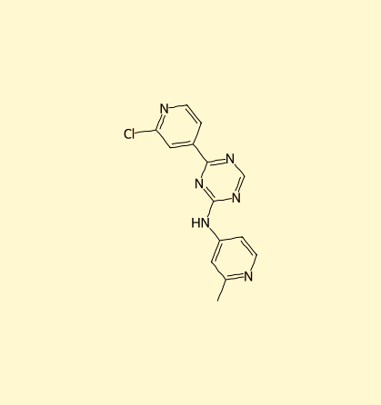 Cc1cc(Nc2ncnc(-c3ccnc(Cl)c3)n2)ccn1